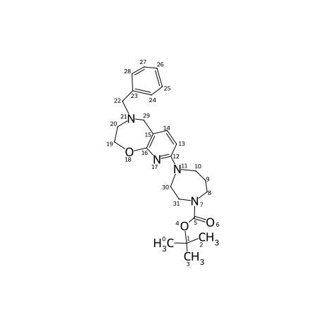 CC(C)(C)OC(=O)N1CCCN(c2ccc3c(n2)OCCN(Cc2ccccc2)C3)CC1